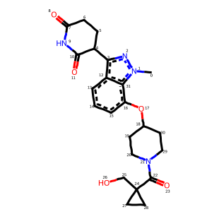 Cn1nc(C2CCC(=O)NC2=O)c2cccc(OC3CCN(C(=O)C4(CO)CC4)CC3)c21